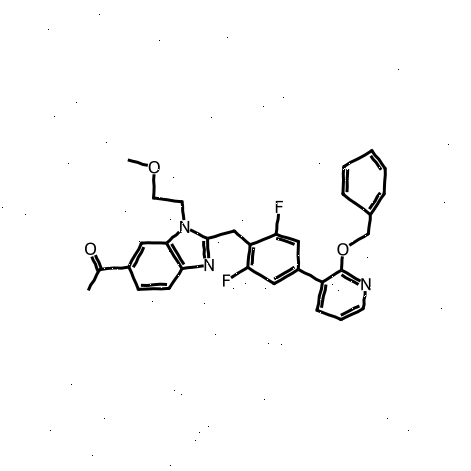 COCCn1c(Cc2c(F)cc(-c3cccnc3OCc3ccccc3)cc2F)nc2ccc(C(C)=O)cc21